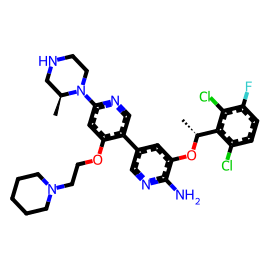 C[C@@H](Oc1cc(-c2cnc(N3CCNC[C@@H]3C)cc2OCCN2CCCCC2)cnc1N)c1c(Cl)ccc(F)c1Cl